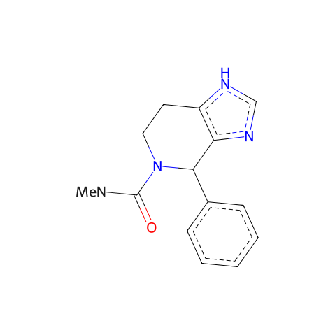 CNC(=O)N1CCc2[nH]cnc2C1c1ccccc1